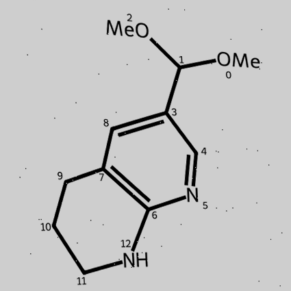 COC(OC)c1cnc2c(c1)CCCN2